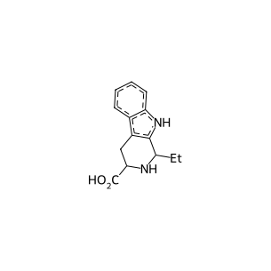 CCC1NC(C(=O)O)Cc2c1[nH]c1ccccc21